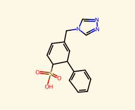 O=S(=O)(O)C1C=CC(Cn2cnnc2)=CC1c1ccccc1